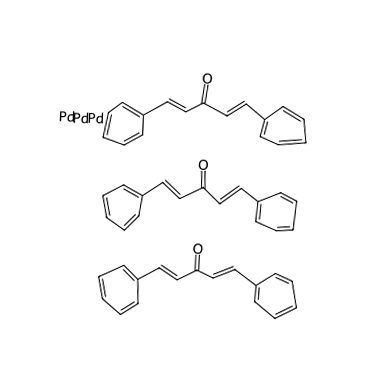 O=C(C=Cc1ccccc1)C=Cc1ccccc1.O=C(C=Cc1ccccc1)C=Cc1ccccc1.O=C(C=Cc1ccccc1)C=Cc1ccccc1.[Pd].[Pd].[Pd]